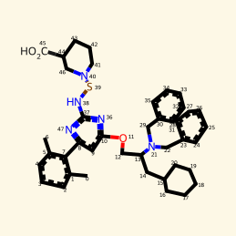 Cc1cccc(C)c1-c1cc(OCC(CC2CCCCC2)N(Cc2ccccc2)Cc2ccccc2)nc(NSN2CCCC(C(=O)O)C2)n1